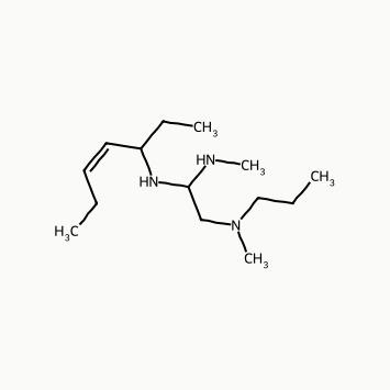 CC/C=C\C(CC)NC(CN(C)CCC)NC